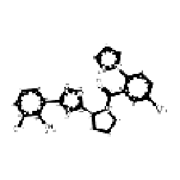 Cc1ccc(-n2cccn2)c(C(=O)N2CCC[C@H]2c2nc(-c3cccc(Cl)c3C)no2)c1